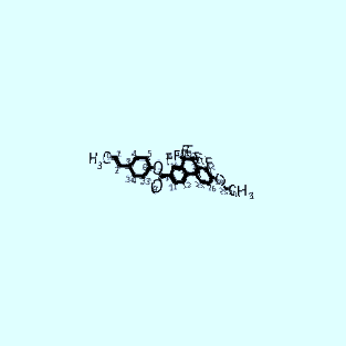 CCCC1CCC(OC(=O)c2ccc3c(c2F)C(F)(F)C(F)(F)c2c-3ccc(OCC)c2F)CC1